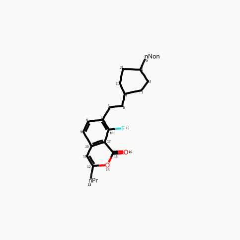 CCCCCCCCCC1CCC(CCc2ccc3cc(CCC)oc(=O)c3c2F)CC1